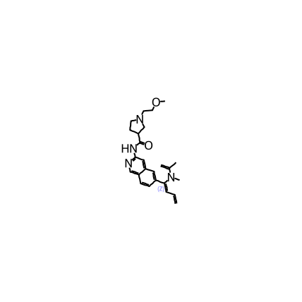 C=C/C=C(/c1ccc2cnc(NC(=O)C3CCN(CCOC)C3)cc2c1)N(C)C(=C)C